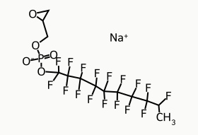 CC(F)C(F)(F)C(F)(F)C(F)(F)C(F)(F)C(F)(F)C(F)(F)C(F)(F)C(F)(F)OP(=O)([O-])OCC1CO1.[Na+]